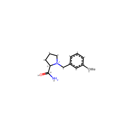 COc1cccc(CN2CC[CH]C2C(N)=O)c1